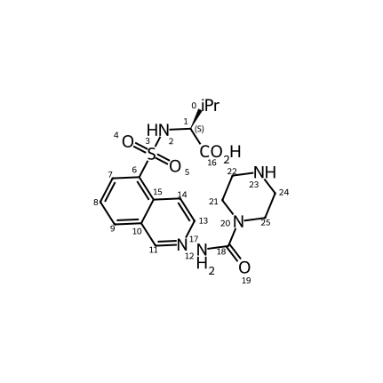 CC(C)[C@H](NS(=O)(=O)c1cccc2cnccc12)C(=O)O.NC(=O)N1CCNCC1